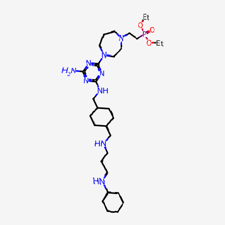 CCOP(=O)(CCN1CCCN(c2nc(N)nc(NCC3CCC(CNCCCNC4CCCCC4)CC3)n2)CC1)OCC